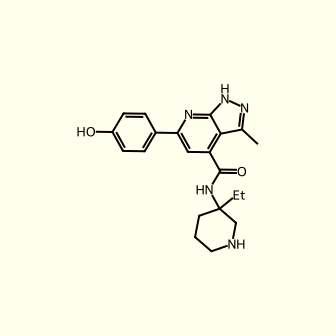 CCC1(NC(=O)c2cc(-c3ccc(O)cc3)nc3[nH]nc(C)c23)CCCNC1